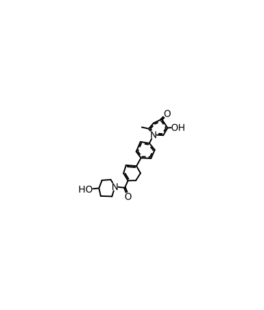 Cc1cc(=O)c(O)cn1-c1ccc(C2=CC=C(C(=O)N3CCC(O)CC3)CC2)cc1